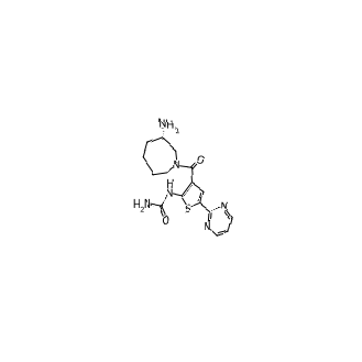 NC(=O)Nc1sc(-c2ncccn2)cc1C(=O)N1CCCC[C@H](N)C1